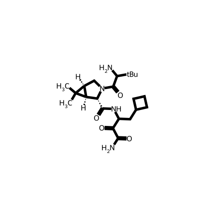 CC(C)(C)C(N)C(=O)N1C[C@H]2[C@@H]([C@H]1C(=O)NC(CC1CCC1)C(=O)C(N)=O)C2(C)C